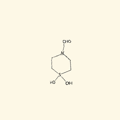 O=CN1CCS(O)(O)CC1